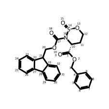 O=C(OCc1ccccc1)[C@H]1CCO[S@](=O)N1C(=O)OCC1c2ccccc2-c2ccccc21